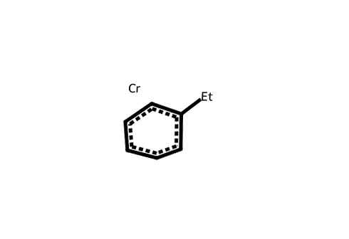 CCc1ccccc1.[Cr]